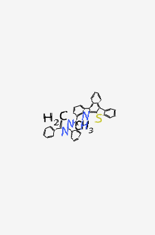 C=C=C(/N=C(\N=C(/C)c1cccc2c1[nH]c1c3sc4ccccc4c3c3ccccc3c21)c1ccccc1)c1ccccc1